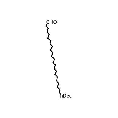 CCCCCCCCCCCCCCCCCCCCCCCCCCCCCCCCC[C]=O